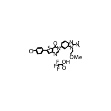 COCCn1c(N(C)C)nc2ccc(-n3cnc4cc(-c5ccc(Cl)cc5)sc4c3=O)cc21.O=C(O)C(F)(F)F